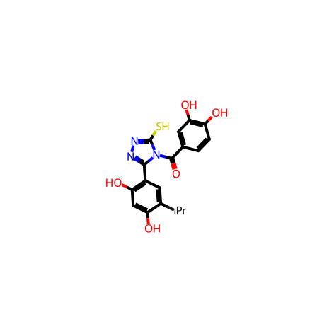 CC(C)c1cc(-c2nnc(S)n2C(=O)c2ccc(O)c(O)c2)c(O)cc1O